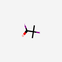 CC(C)(I)C(=O)I